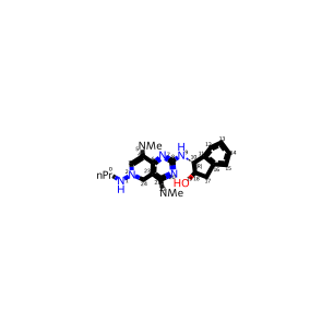 CCCNN1C=C(NC)c2nc(N[C@@H]3c4ccccc4CC3O)nc(NC)c2C1